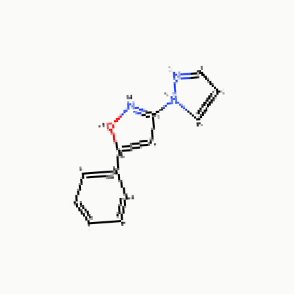 [c]1cnn(-c2cc(-c3ccccc3)on2)c1